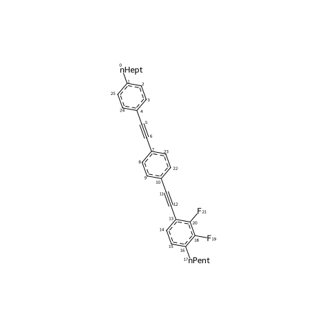 CCCCCCCc1ccc(C#Cc2ccc(C#Cc3ccc(CCCCC)c(F)c3F)cc2)cc1